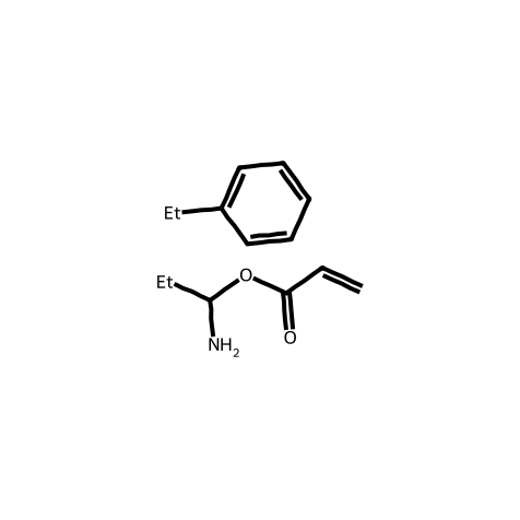 C=CC(=O)OC(N)CC.CCc1ccccc1